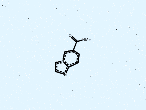 CNC(=O)c1ccc2nccn2c1